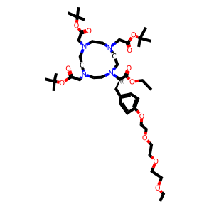 CCOCCOCCOCCOc1ccc(C[C@H](C(=O)OCC)N2CCN(CC(=O)OC(C)(C)C)CCN(CC(=O)OC(C)(C)C)CCN(CC(=O)OC(C)(C)C)CC2)cc1